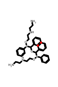 NCCNCCOB(c1ccccc1)C(OC(B(OCCNCCN)c1ccccc1)c1ccccc1)c1ccccc1